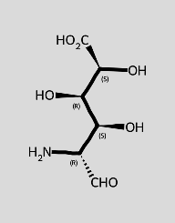 N[C@@H](C=O)[C@H](O)[C@@H](O)[C@H](O)C(=O)O